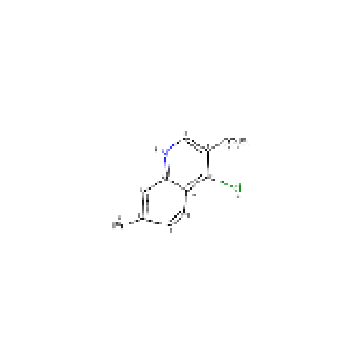 CCOC(=O)c1cnc2cc(C(C)C)ccc2c1Cl